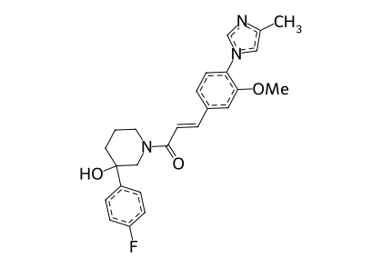 COc1cc(/C=C/C(=O)N2CCCC(O)(c3ccc(F)cc3)C2)ccc1-n1cnc(C)c1